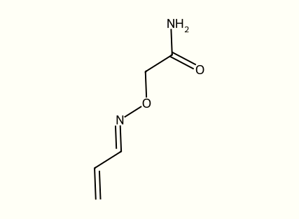 C=CC=NOCC(N)=O